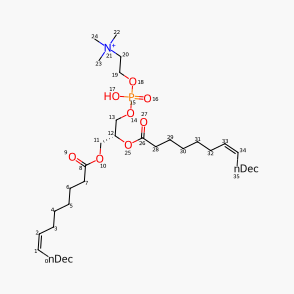 CCCCCCCCCC/C=C\CCCCCC(=O)OC[C@H](COP(=O)(O)OCC[N+](C)(C)C)OC(=O)CCCCC/C=C\CCCCCCCCCC